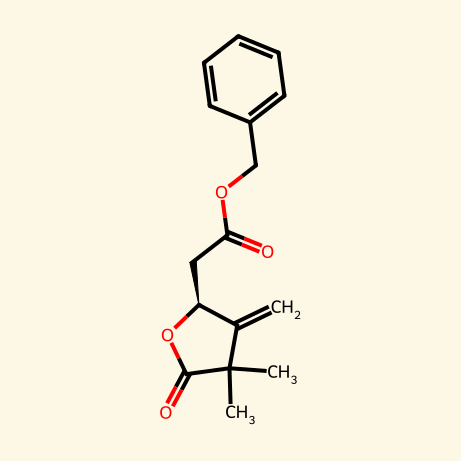 C=C1[C@H](CC(=O)OCc2ccccc2)OC(=O)C1(C)C